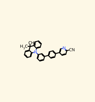 CC1(C)c2ccccc2N(c2cccc(-c3ccc(-c4ccc(C#N)nc4)cc3)c2)c2ccccc21